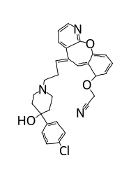 N#CCOC1C=CC=C2Oc3ncccc3C(=CCCN3CCC(O)(c4ccc(Cl)cc4)CC3)C=C21